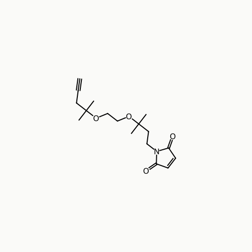 C#CCC(C)(C)OCCOC(C)(C)CCN1C(=O)C=CC1=O